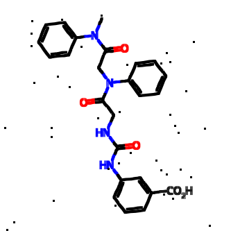 CN(C(=O)CN(C(=O)CNC(=O)Nc1cccc(C(=O)O)c1)c1ccccc1)c1ccccc1